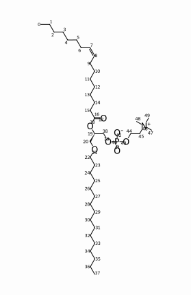 CCCCCCC/C=C\CCCCCCCC(=O)O[C@H](COCCCCCCCCCCCCCCCC)COP(=O)([O-])OCC[N+](C)(C)C